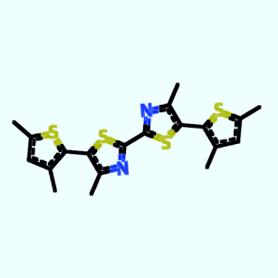 Cc1cc(C)c(-c2sc(-c3nc(C)c(-c4sc(C)cc4C)s3)nc2C)s1